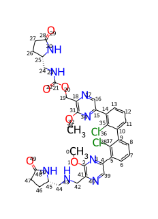 COc1nc(-c2cccc(-c3cccc(-c4cnc(COC(=O)NC[C@@H]5CCC(=O)N5)c(OC)n4)c3Cl)c2Cl)cnc1CNC[C@@H]1CCC(=O)N1